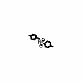 Cc1ccc(/C=N/S(=O)(=O)c2ccc(C)cc2)cc1